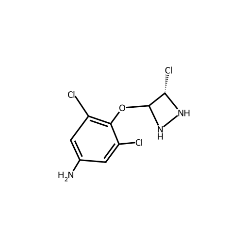 Nc1cc(Cl)c(OC2NN[C@H]2Cl)c(Cl)c1